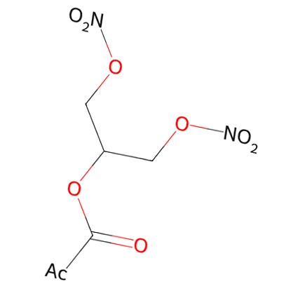 CC(=O)C(=O)OC(CO[N+](=O)[O-])CO[N+](=O)[O-]